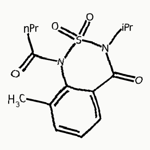 CCCC(=O)N1c2c(C)cccc2C(=O)N(C(C)C)S1(=O)=O